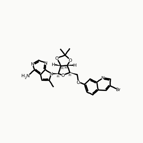 Cc1cc2c(N)ncnc2n1[C@@H]1O[C@H](COc2ccc3cc(Br)cnc3c2)[C@H]2OC(C)(C)O[C@H]21